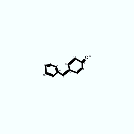 O=C1C=CC(=Cc2ccccc2)C=C1